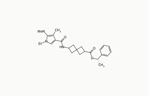 CCn1cc(C(=O)NC2CC3(C2)CC(C(=O)O[C@@H](C)c2ccccc2)C3)c(C)c1NC